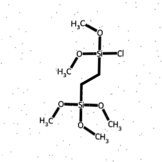 CO[Si](Cl)(CC[Si](OC)(OC)OC)OC